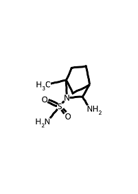 CC12CCC(C1)C(N)N2S(N)(=O)=O